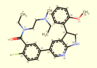 CCN(C)CCN(CC)C(=O)c1cc(-c2cnc3c(c2)C(c2ccccc2OC)CN3)ccc1F